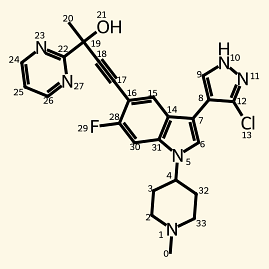 CN1CCC(n2cc(-c3c[nH]nc3Cl)c3cc(C#CC(C)(O)c4ncccn4)c(F)cc32)CC1